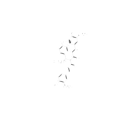 COc1cc(C=CC(=O)C(C(=O)C=Cc2ccc(O)c(OC)c2)C(NC(C)=O)c2ccc(C(=O)O)cc2)ccc1O